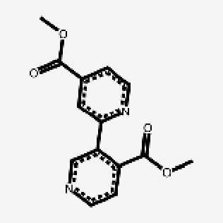 COC(=O)c1ccnc(-c2cnccc2C(=O)OC)c1